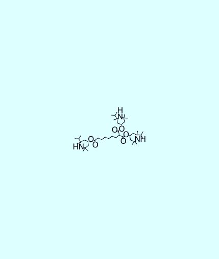 CC(C)C1(C)CC(OC(=O)CCCCCCC(C(=O)OC2CC(C)(C)NC(C)(C(C)C)C2)C(=O)OC2CC(C)(C)NC(C)(C(C)C)C2)CC(C)(C)N1